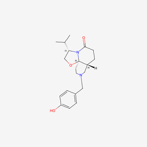 CC(C)[C@H]1CO[C@]23CCN(Cc4ccc(O)cc4)C[C@H]2CCC(=O)N13